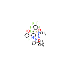 CC(C)c1ccccc1-n1c(=O)nc(N(C)S(=O)(=O)c2c(F)c(F)c(F)c(F)c2C(F)F)c2cc(F)c(-c3c(O)cccc3F)nc21